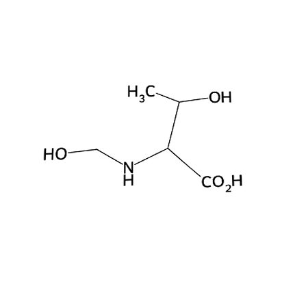 CC(O)C(NCO)C(=O)O